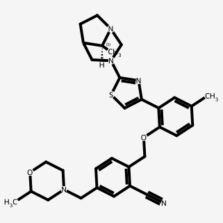 Cc1ccc(OCc2ccc(CN3CCOC(C)C3)cc2C#N)c(-c2csc(N3CC4CCN(C3)[C@H]4C)n2)c1